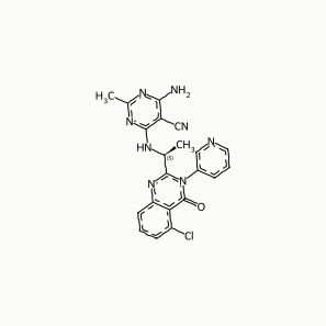 Cc1nc(N)c(C#N)c(N[C@@H](C)c2nc3cccc(Cl)c3c(=O)n2-c2cccnc2)n1